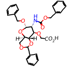 O=C(O)CO[C@@H]1[C@@H](NC(=O)OCc2ccccc2)[C@@H](OCc2ccccc2)O[C@@H]2COC(c3ccccc3)O[C@@H]12